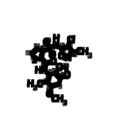 COc1cc2c(c(NC(=O)c3sccc3S(=O)(=O)Nc3onc(C)c3Cl)c1C)OCO2